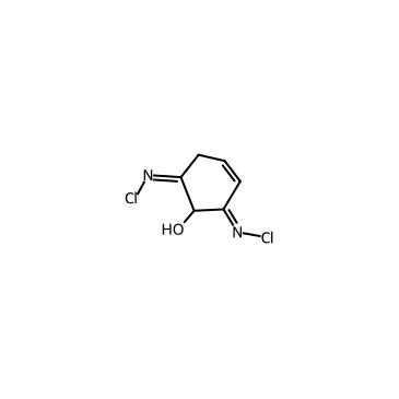 OC1/C(=N\Cl)CC=C/C1=N\Cl